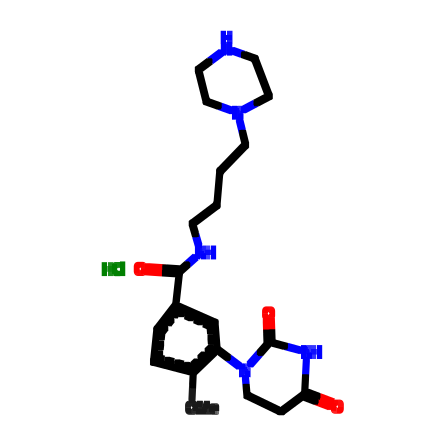 COc1ccc(C(=O)NCCCCN2CCNCC2)cc1N1CCC(=O)NC1=O.Cl